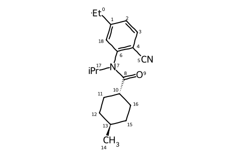 C[CH]c1ccc(C#N)c(N(C(=O)[C@H]2CC[C@H](C)CC2)C(C)C)c1